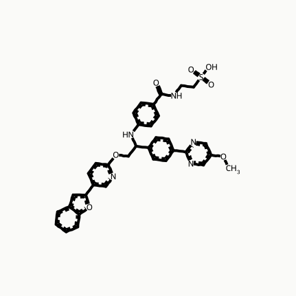 COc1cnc(-c2ccc(C(COc3ccc(-c4cc5ccccc5o4)cn3)Nc3ccc(C(=O)NCCS(=O)(=O)O)cc3)cc2)nc1